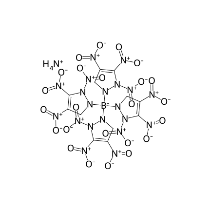 O=[N+]([O-])C1=C([N+](=O)[O-])N([N+](=O)[O-])N([B-](N2CC([N+](=O)[O-])=C([N+](=O)[O-])N2[N+](=O)[O-])(N2CC([N+](=O)[O-])=C([N+](=O)[O-])N2[N+](=O)[O-])N2CC([N+](=O)[O-])=C([N+](=O)[O-])N2[N+](=O)[O-])C1.[NH4+]